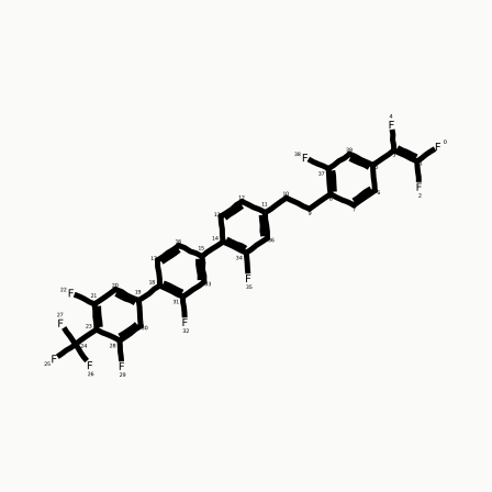 FC(F)=C(F)c1ccc(CCc2ccc(-c3ccc(-c4cc(F)c(C(F)(F)F)c(F)c4)c(F)c3)c(F)c2)c(F)c1